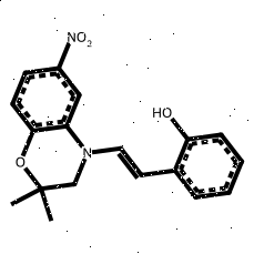 CC1(C)CN(C=Cc2ccccc2O)c2cc([N+](=O)[O-])ccc2O1